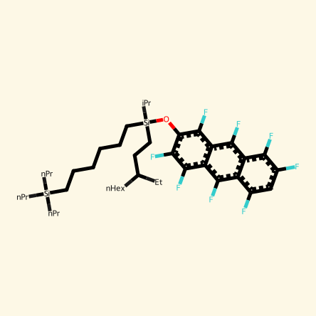 CCCCCCC(CC)CC[Si](CCCCCC[Si](CCC)(CCC)CCC)(Oc1c(F)c(F)c2c(F)c3c(F)[c]c(F)c(F)c3c(F)c2c1F)C(C)C